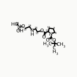 CC(C)(C)OC(=O)N1CCCC1C(=O)OCCNCCON(O)O